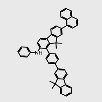 CC1(C)c2ccccc2-c2ccc(-c3ccc(-c4c(Nc5ccccc5)ccc5c4C(C)(C)c4cc(-c6cccc7ccccc67)ccc4-5)cc3)cc21